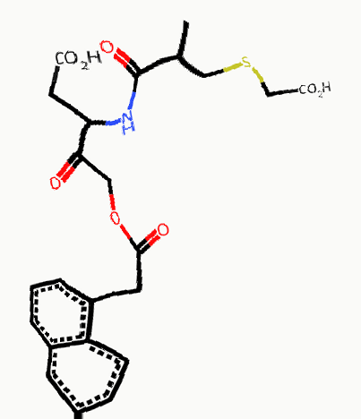 CC(CSCC(=O)O)C(=O)NC(CC(=O)O)C(=O)COC(=O)Cc1cccc2ccccc12